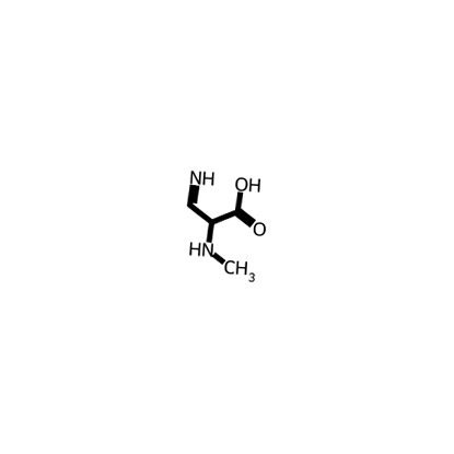 CNC(C=N)C(=O)O